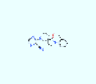 Cc1ccccc1N1CC[C@@]2(CCCN(c3nccnc3C#N)C2)C1=O